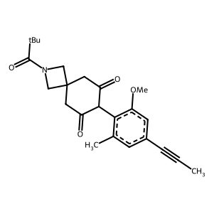 CC#Cc1cc(C)c(C2C(=O)CC3(CC2=O)CN(C(=O)C(C)(C)C)C3)c(OC)c1